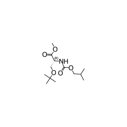 COC(=O)[C@@H](COC(C)(C)C)NC(=O)OCC(C)C